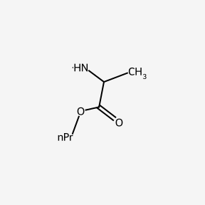 CCCOC(=O)C(C)[NH]